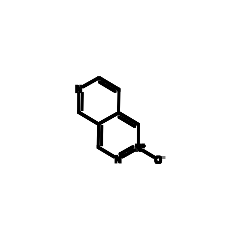 [O-][n+]1cc2ccncc2cn1